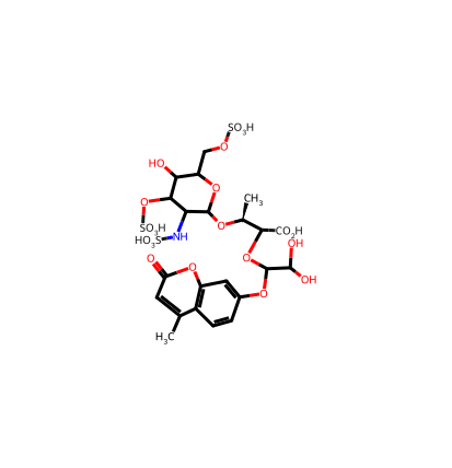 Cc1cc(=O)oc2cc(OC(OC(C(=O)O)[C@H](C)OC3OC(COS(=O)(=O)O)C(O)C(OS(=O)(=O)O)C3NS(=O)(=O)O)C(O)O)ccc12